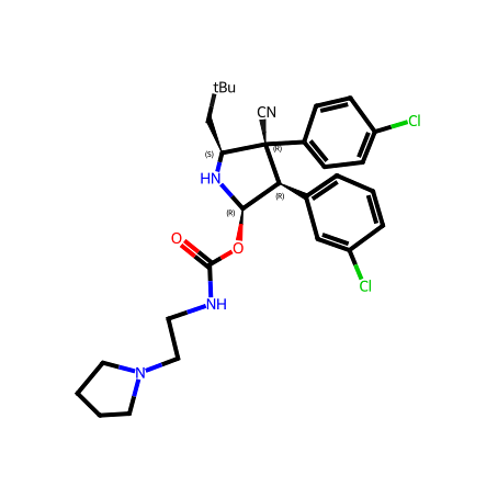 CC(C)(C)C[C@@H]1N[C@H](OC(=O)NCCN2CCCC2)[C@H](c2cccc(Cl)c2)[C@@]1(C#N)c1ccc(Cl)cc1